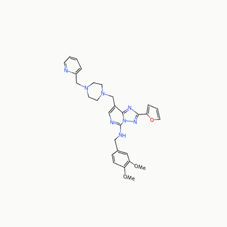 COc1ccc(CNc2ncc(CN3CCN(Cc4ccccn4)CC3)c3nc(-c4ccco4)nn23)cc1OC